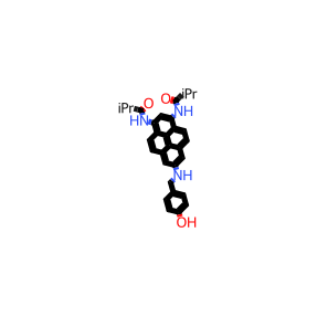 CC(C)C(=O)Nc1cc(NC(=O)C(C)C)c2ccc3cc(NCc4ccc(O)cc4)cc4ccc1c2c43